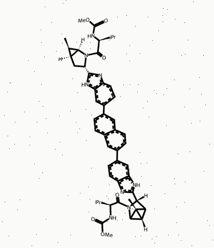 COC(=O)N[C@H](C(=O)N1C2[C@H]3C([C@H]1c1nc4ccc(-c5ccc6cc(-c7ccc8nc([C@@H]9C[C@H]%10[C@@H](C)[C@H]%10N9C(=O)[C@@H](NC(=O)OC)C(C)C)[nH]c8c7)ccc6c5)cc4[nH]1)[C@@]23C)C(C)C